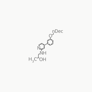 CCCCCCCCCCCOc1cccc(-c2ccnc(NCC(C)O)c2)c1